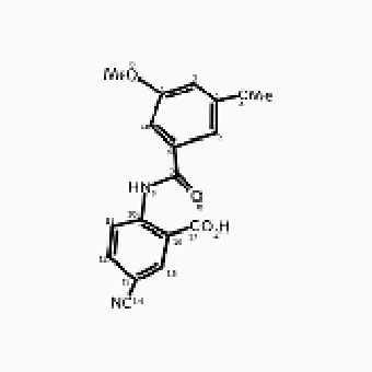 COc1cc(OC)cc(C(=O)Nc2ccc(C#N)cc2C(=O)O)c1